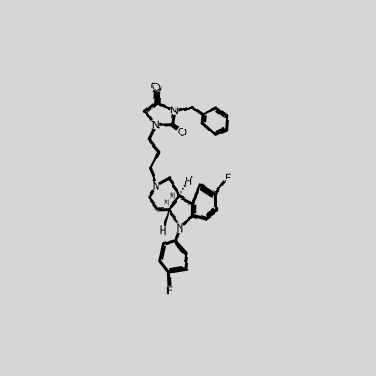 O=C1CN(CCCN2CC[C@@H]3[C@@H](C2)c2cc(F)ccc2N3c2ccc(F)cc2)C(=O)N1Cc1ccccc1